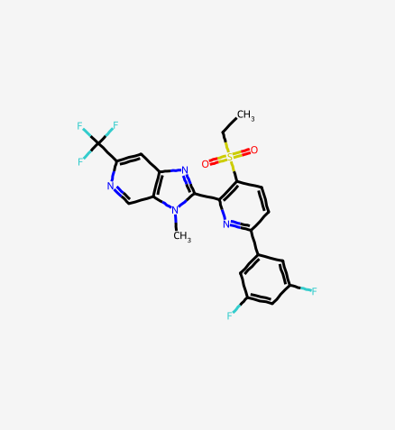 CCS(=O)(=O)c1ccc(-c2cc(F)cc(F)c2)nc1-c1nc2cc(C(F)(F)F)ncc2n1C